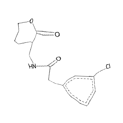 O=C(Cc1cccc(Cl)c1)NC1CCOC1=O